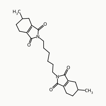 CC1CCC2=C(C1)C(=O)N(CCCCCCN1C(=O)C3=C(CC(C)CC3)C1=O)C2=O